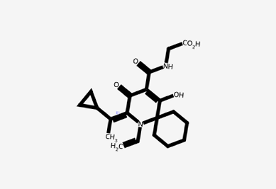 C=CN1/C(=C(\C)C2CC2)C(=O)C(C(=O)NCC(=O)O)=C(O)C12CCCCC2